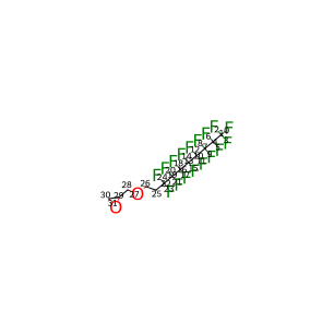 FC(F)(F)C(F)(F)C(F)(F)C(F)(F)C(F)(F)C(F)(F)C(F)(F)C(F)(F)CCOCC1CO1